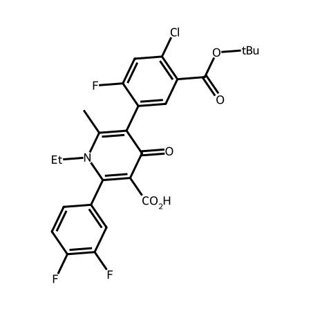 CCn1c(C)c(-c2cc(C(=O)OC(C)(C)C)c(Cl)cc2F)c(=O)c(C(=O)O)c1-c1ccc(F)c(F)c1